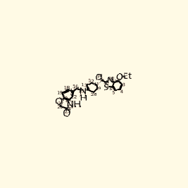 CCOc1cccc2sc(C(=O)[C@H]3CC[C@H](NCc4ccc5c(c4)NC(=O)CO5)CC3)nc12